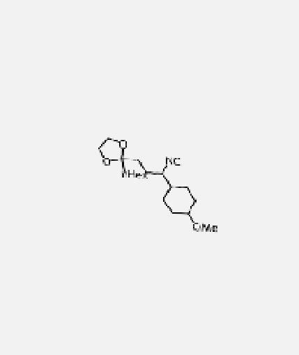 [C-]#[N+]C(CCC1(CCCCCC)OCCO1)C1CCC(OC)CC1